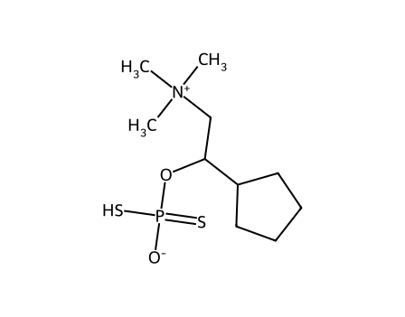 C[N+](C)(C)CC(OP([O-])(=S)S)C1CCCC1